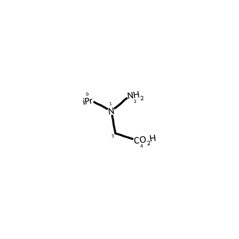 CC(C)N(N)CC(=O)O